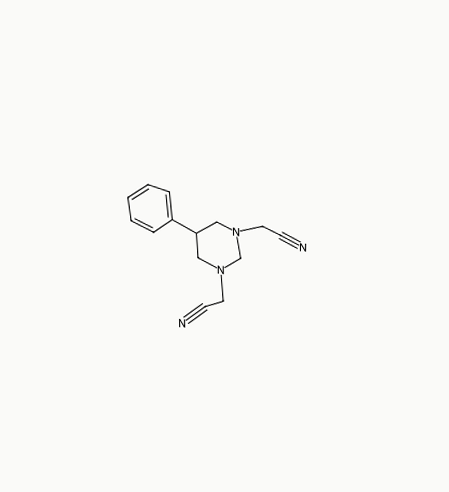 N#CCN1CC(c2ccccc2)CN(CC#N)C1